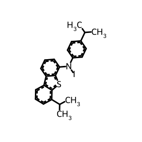 CC(C)c1ccc(N(I)c2cccc3c2sc2c(C(C)C)cccc23)cc1